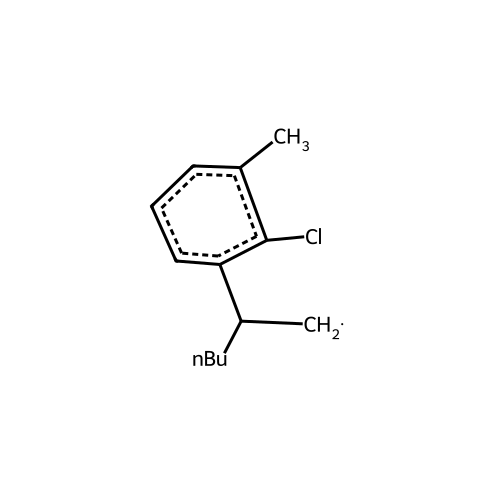 [CH2]C(CCCC)c1cccc(C)c1Cl